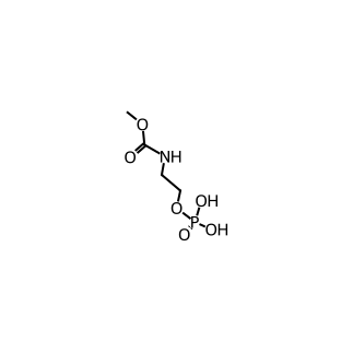 COC(=O)NCCOP(=O)(O)O